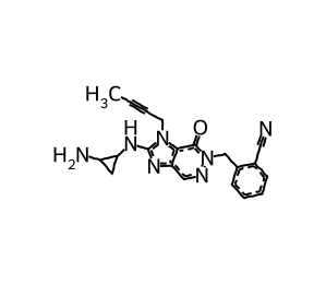 CC#CCn1c(NC2CC2N)nc2cnn(Cc3ccccc3C#N)c(=O)c21